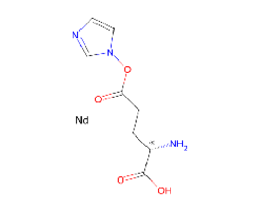 N[C@@H](CCC(=O)On1ccnc1)C(=O)O.[Nd]